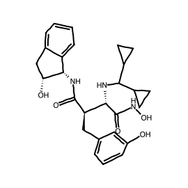 O=C(NO)[C@@H](NC(C1CC1)C1CC1)[C@@H](Cc1cccc(O)c1)C(=O)N[C@H]1c2ccccc2C[C@H]1O